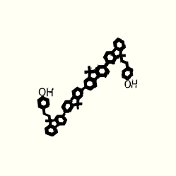 CC1(C)c2cc(-c3ccc4c(c3)C(C)(C)c3cc(-c5ccc6c(c5)C(C)(CCc5ccc(O)cc5)c5ccccc5-6)ccc3-4)ccc2-c2ccc(-c3ccc4c(c3)C(C)(CCc3ccc(O)cc3)c3ccccc3-4)cc21